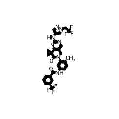 Cc1ccc(NC(=O)c2cccc(C(F)(F)F)c2)cc1N1Cc2cnc(Nc3cnn(CC(F)(F)F)c3)nc2C2(CC2)C1=O